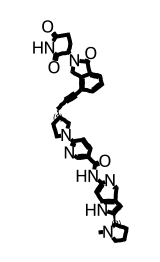 CN1CCC[C@@H]1c1cc2cnc(NC(=O)c3ccc(N4CC[C@H](CC#Cc5cccc6c5CN(C5CCC(=O)NC5=O)C6=O)C4)nc3)cc2[nH]1